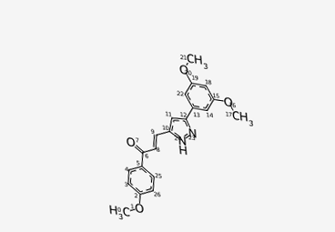 COc1ccc(C(=O)C=Cc2cc(-c3cc(OC)cc(OC)c3)n[nH]2)cc1